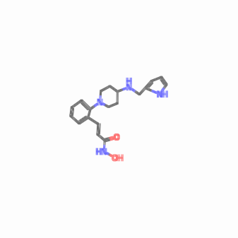 O=C(/C=C/c1ccccc1N1CCC(NCc2ccc[nH]2)CC1)NO